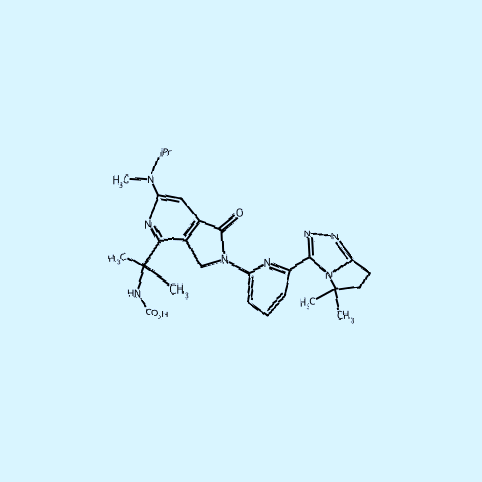 CC(C)N(C)c1cc2c(c(C(C)(C)NC(=O)O)n1)CN(c1cccc(-c3nnc4n3C(C)(C)CC4)n1)C2=O